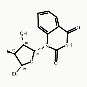 CC[C@H]1O[C@@H](n2c(=O)[nH]c(=O)c3ccccc32)[C@@H](O)[C@@H]1C